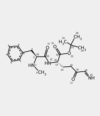 CN[C@@H](Cc1ccccc1)C(=O)N[C@@H](CCC(=O)C=N)C(=O)OC(C)(C)C